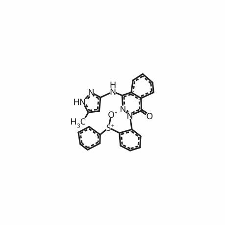 Cc1cc(Nc2nn(-c3ccccc3[S+]([O-])c3ccccc3)c(=O)c3ccccc23)n[nH]1